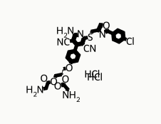 Cl.Cl.N#Cc1c(N)nc(SCc2coc(-c3ccc(Cl)cc3)n2)c(C#N)c1-c1ccc(OC[C@@H](COC(=O)CN)OC(=O)CN)cc1